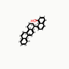 Oc1cccc2cccc(C3CCCc4c3ccc3c4ccc4ccccc43)c12